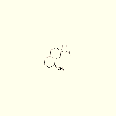 C=C1CCCC2CCC(C)(C)CC12